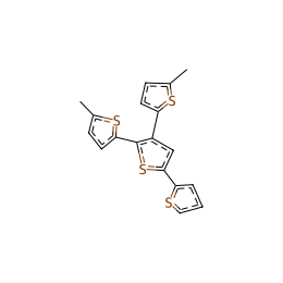 Cc1ccc(-c2cc(-c3cccs3)sc2-c2ccc(C)s2)s1